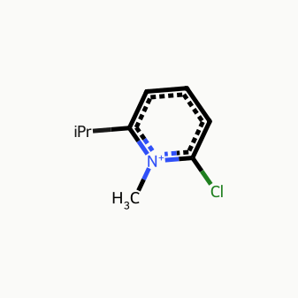 CC(C)c1cccc(Cl)[n+]1C